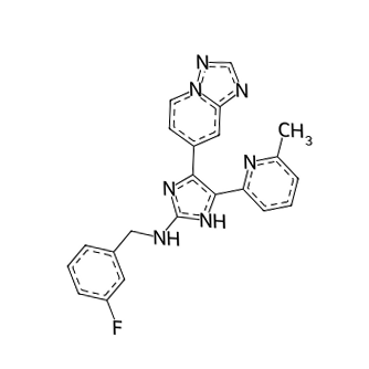 Cc1cccc(-c2[nH]c(NCc3cccc(F)c3)nc2-c2ccn3ncnc3c2)n1